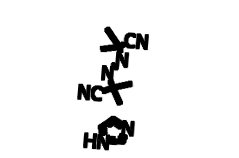 CC(C)(C#N)N=NC(C)(C)C#N.c1c[nH]cn1